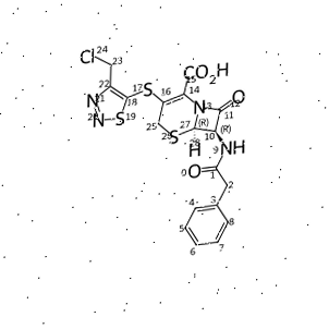 O=C(Cc1ccccc1)N[C@@H]1C(=O)N2C(C(=O)O)=C(Sc3snnc3CCl)CS[C@H]12